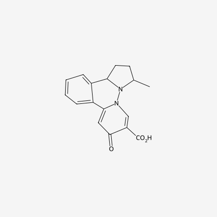 CC1CCC2c3ccccc3-c3cc(=O)c(C(=O)O)cn3N12